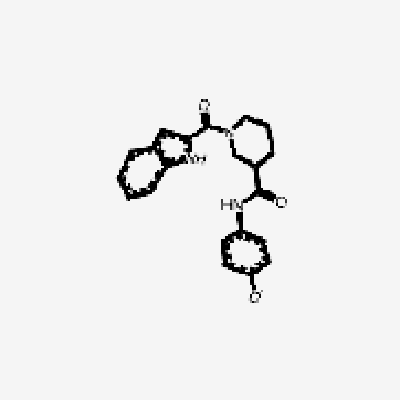 O=C(Nc1ccc(Cl)cc1)C1CCCN(C(=O)c2cc3ccccc3[nH]2)C1